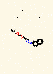 CCOCCOCCCNc1ccc2ccccc2c1